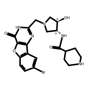 O=C(N[C@@H]1CN(Cc2nc3c(oc4ccc(Br)cc43)c(=O)[nH]2)C[C@H]1O)C1CCNCC1